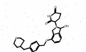 O=C1CCC(N2Cc3c(OCc4ccc(CC5CCOCC5)cc4)cccc3C2O)C(=O)N1